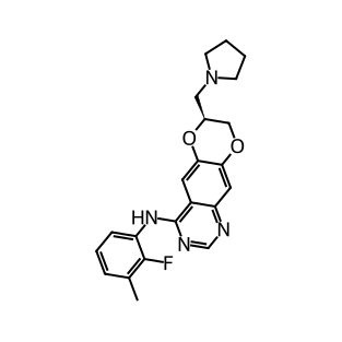 Cc1cccc(Nc2ncnc3cc4c(cc23)O[C@@H](CN2CCCC2)CO4)c1F